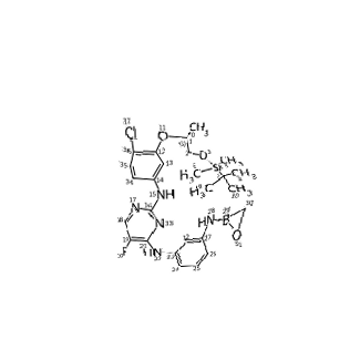 C[C@@H](CO[Si](C)(C)C(C)(C)C)Oc1cc(Nc2ncc(F)c(Nc3cccc(NB4CO4)c3)n2)ccc1Cl